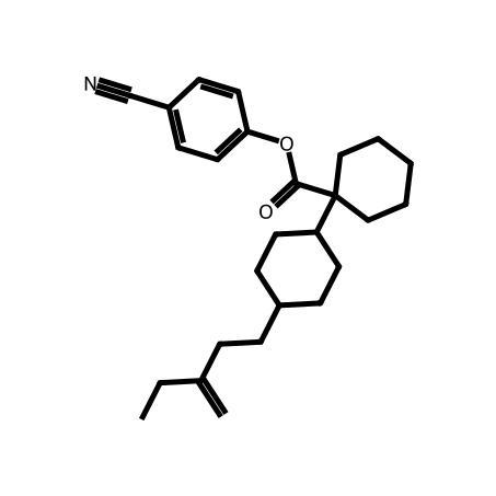 C=C(CC)CCC1CCC(C2(C(=O)Oc3ccc(C#N)cc3)CCCCC2)CC1